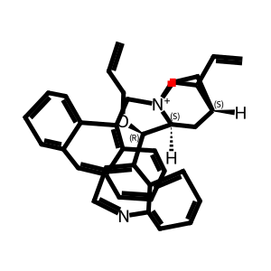 C=CCO[C@H](c1ccnc2ccccc12)[C@@H]1C[C@@H]2CC[N+]1(Cc1c3ccccc3cc3ccccc13)CC2C=C